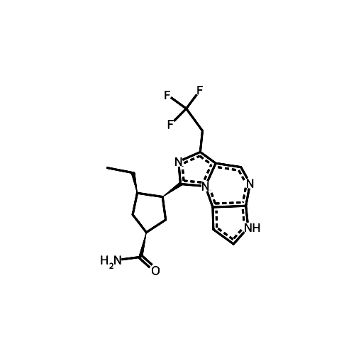 CC[C@@H]1C[C@H](C(N)=O)C[C@@H]1c1nc(CC(F)(F)F)c2cnc3[nH]ccc3n12